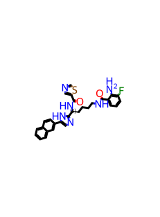 Nc1c(F)cccc1C(=O)NCCCC[C@H](NC(=O)c1cncs1)c1ncc(-c2ccc3ccccc3c2)[nH]1